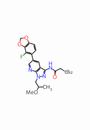 COC(C)Cn1nc(NC(=O)CC(C)(C)C)c2cc(-c3ccc4c(c3F)OCO4)cnc21